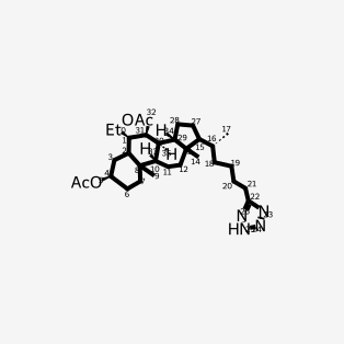 CC[C@@H]1C2C[C@H](OC(C)=O)CCC2(C)[C@H]2CCC3(C)C([C@H](C)CCCCc4nn[nH]n4)CC[C@H]3[C@@H]2[C@@H]1OC(C)=O